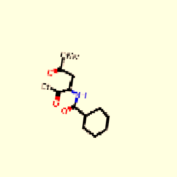 CCC(=O)C(CC(=O)OC)NC(=O)C1CCCCC1